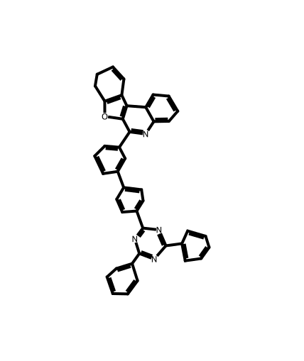 C1=Cc2c(oc3c(-c4cccc(-c5ccc(-c6nc(-c7ccccc7)nc(-c7ccccc7)n6)cc5)c4)nc4ccccc4c23)CC1